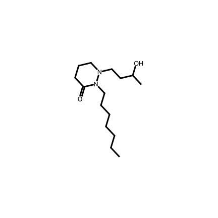 CCCCCCCN1C(=O)CCCN1CCC(C)O